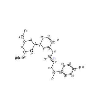 CSC1CC(OF)CC(C2C=C(C/C(C)=C/CC(C)c3ccc(F)cc3)C(C)=CC2)O1